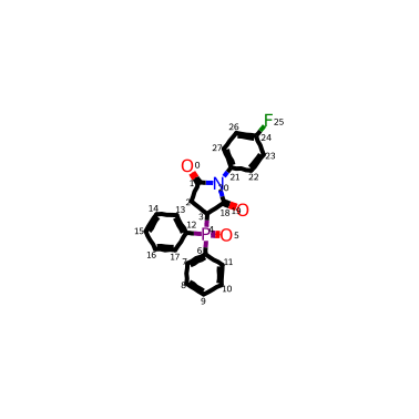 O=C1CC(P(=O)(c2ccccc2)c2ccccc2)C(=O)N1c1ccc(F)cc1